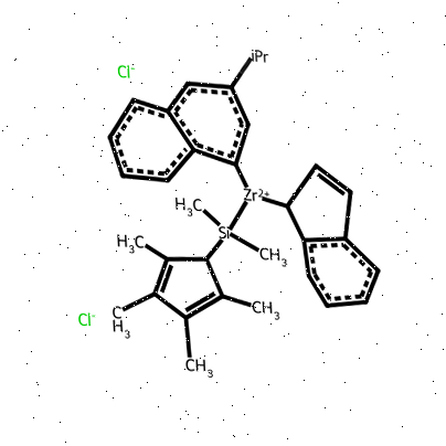 CC1=C(C)C([Si](C)(C)[Zr+2]([c]2cc(C(C)C)cc3ccccc23)[CH]2C=Cc3ccccc32)C(C)=C1C.[Cl-].[Cl-]